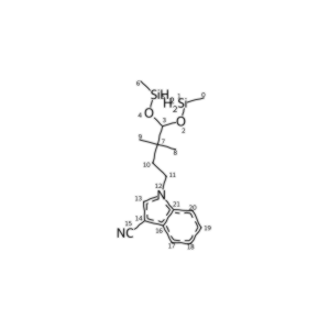 C[SiH2]OC(O[SiH2]C)C(C)(C)CCn1cc(C#N)c2ccccc21